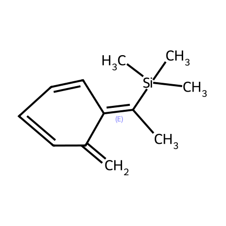 C=c1cccc/c1=C(/C)[Si](C)(C)C